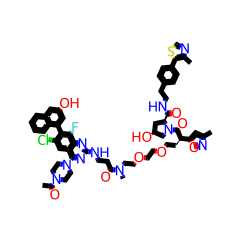 CC(=O)N1CCN(c2nc(NCCC(=O)N(C)CCOCCOCC[C@H](C(=O)N3C[C@@H](O)C[C@H]3C(=O)NCCc3ccc(-c4scnc4C)cc3)c3cc(C)no3)nc3c(F)c(-c4cc(O)cc5ccccc45)c(Cl)cc23)CC1